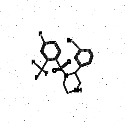 O=S(=O)(c1ccc(F)cc1C(F)(F)F)N1CCNCC1c1cccc(Br)c1